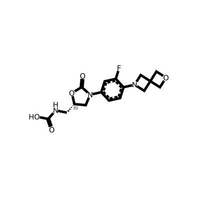 O=C(O)NC[C@H]1CN(c2ccc(N3CC4(COC4)C3)c(F)c2)C(=O)O1